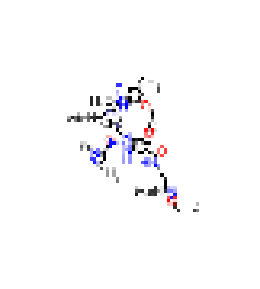 CCn1nc(C)cc1C1ON1C1Nc2cc(C(=O)NCCC/C(=N/OC=O)NC)cc3c2N1C/C=C/CN1c2c(cc(C)cc2OCCCO3)NC1(C)/C=C/C(C)NC